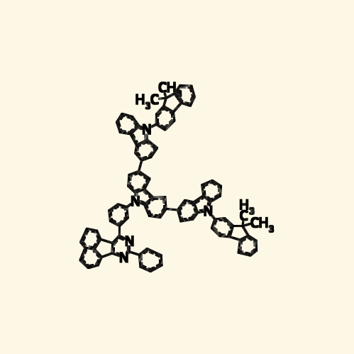 CC1(C)c2ccccc2-c2ccc(-n3c4ccccc4c4cc(-c5ccc6c(c5)c5cc(-c7ccc8c(c7)c7ccccc7n8-c7ccc8c(c7)C(C)(C)c7ccccc7-8)ccc5n6-c5cccc(-c6nc(-c7ccccc7)nc7c6-c6cccc8cccc-7c68)c5)ccc43)cc21